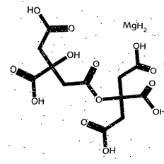 O=C(O)CC(O)(CC(=O)OC(CC(=O)O)(CC(=O)O)C(=O)O)C(=O)O.[MgH2]